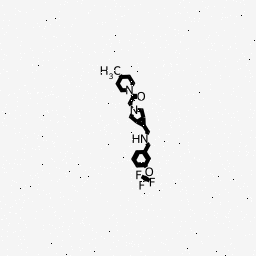 CC1CCN(C(=O)CN2CC3C(CNCc4cccc(OC(F)(F)F)c4)C3C2)CC1